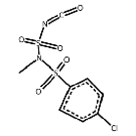 CN(S(=O)(=O)N=C=O)S(=O)(=O)c1ccc(Cl)cc1